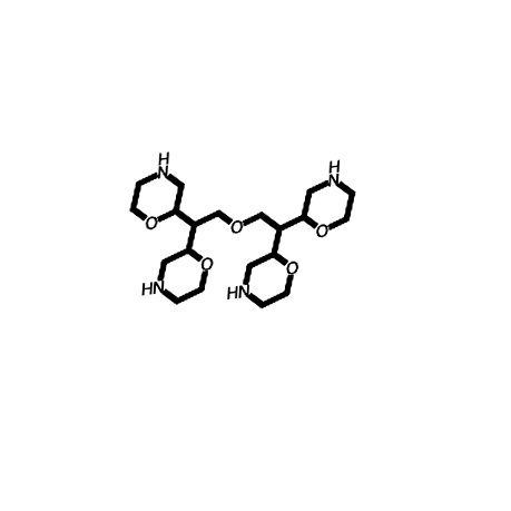 C1COC(C(COCC(C2CNCCO2)C2CNCCO2)C2CNCCO2)CN1